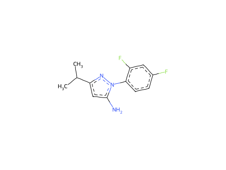 CC(C)c1cc(N)n(-c2ccc(F)cc2F)n1